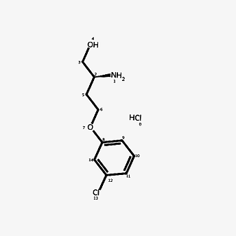 Cl.N[C@H](CO)CCOc1cccc(Cl)c1